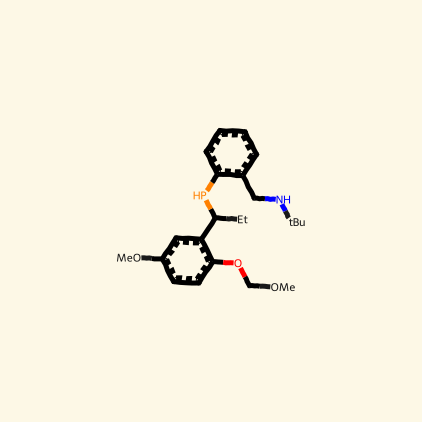 CCC(Pc1ccccc1CNC(C)(C)C)c1cc(OC)ccc1OCOC